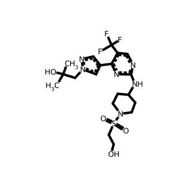 CC(C)(O)Cn1cc(-c2nc(NC3CCN(S(=O)(=O)CCO)CC3)ncc2C(F)(F)F)cn1